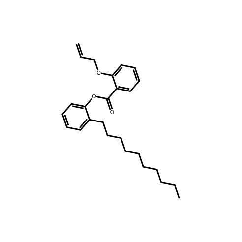 C=CCOc1ccccc1C(=O)Oc1ccccc1CCCCCCCCCC